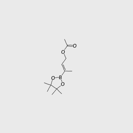 CC(=O)OCC=C(C)B1OC(C)(C)C(C)(C)O1